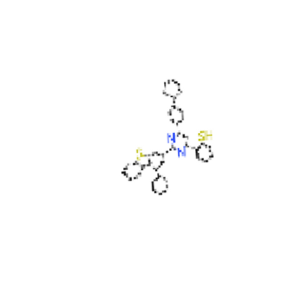 Sc1ccccc1-c1cc(-c2ccc(-c3ccccc3)cc2)nc(-c2cc(-c3ccccc3)c3c(c2)sc2ccccc23)n1